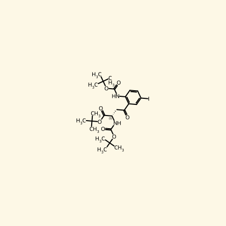 CC(C)(C)OC(=O)Nc1ccc(I)cc1C(=O)C[C@H](NC(=O)OC(C)(C)C)C(=O)OC(C)(C)C